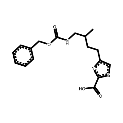 CC(CCc1csc(C(=O)O)n1)CNC(=O)OCc1ccccc1